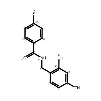 N#Cc1ccc(CNC(=O)c2ccc(F)cc2)c(O)c1